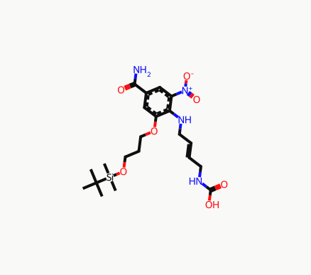 CC(C)(C)[Si](C)(C)OCCCOc1cc(C(N)=O)cc([N+](=O)[O-])c1NCC=CCNC(=O)O